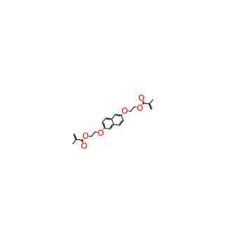 C=C(C)C(=O)OCCOc1ccc2cc(OCCOC(=O)C(=C)C)ccc2c1